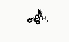 C[C@H]1C[C@@H](N(Cc2ccccc2)Cc2ccccc2)CC[C@@H]1N=[N+]=[N-]